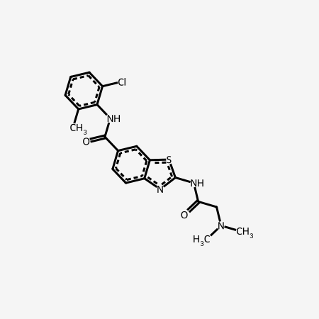 Cc1cccc(Cl)c1NC(=O)c1ccc2nc(NC(=O)CN(C)C)sc2c1